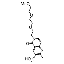 COCCOCCOCCn1ccc2nc(C)c(C(=O)O)cc2c1=O